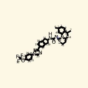 Cc1ccc(C(C)C)c(N2/C(=N/C(=O)NC3Cc4ccc(-c5ncn(-c6ccc(OC(F)(F)F)cc6)n5)cc4C3)SCCC2C)c1